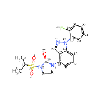 CC(C)S(=O)(=O)N1CCN(c2cccc3c2cnn3-c2ccccc2F)C1=O